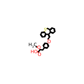 CCOC(Cc1ccc(OC/C=C2/c3ccccc3CSc3ccccc32)cc1)C(=O)O